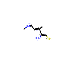 C\N=C/C=C(C)/C(N)=C/S